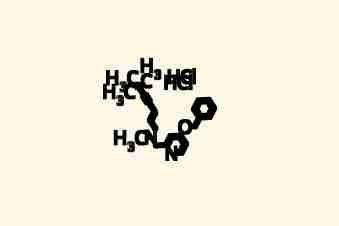 CN(CC=CC#CC(C)(C)C)Cc1cc(OCc2ccccc2)ccn1.Cl.Cl